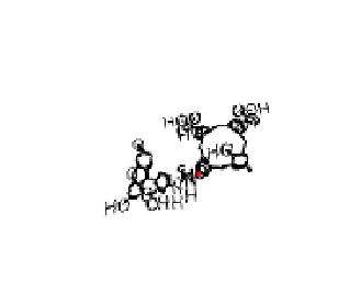 Cc1cc2c(O)c(c1)Cc1cc(S(=O)(=O)O)cc(c1O)Cc1cc(S(=O)(=O)O)cc(c1O)Cc1cc(NC(=S)Nc3ccc(-c4c5ccc(=O)cc-5oc5cc(O)ccc45)c(C(=O)O)c3)cc(c1O)C2